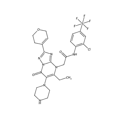 CCc1c(N2CCNCC2)c(=O)n2nc(C3=CCOCC3)nc2n1CC(=O)Nc1ccc(S(F)(F)(F)(F)F)cc1Cl